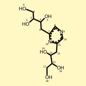 OCC(O)C(O)Cc1cncc(CC(O)C(O)CO)n1